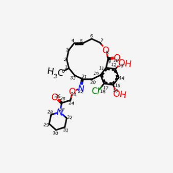 CC1CC/C=C/CCOC(=O)c2c(O)cc(O)c(Cl)c2C/C(=N/OCC(=O)N2CCCCC2)C1